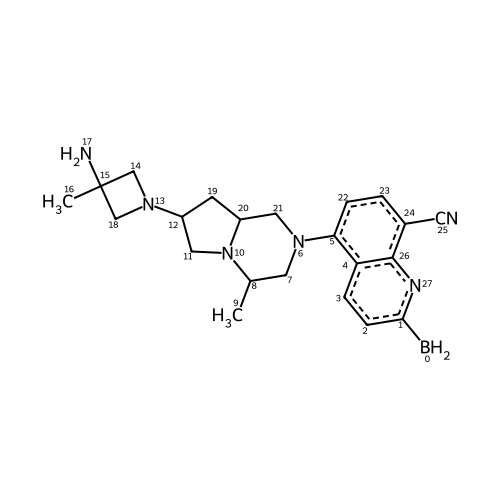 Bc1ccc2c(N3CC(C)N4CC(N5CC(C)(N)C5)CC4C3)ccc(C#N)c2n1